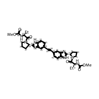 CC[C@H](NC(=O)OC)C(=O)N1CCC[C@H]1c1nc2cc(C#Cc3ccc4[nH]c([C@@H]5CCCN5C(=O)[C@H](CC)NC(=O)OC)nc4c3)ccc2[nH]1